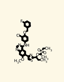 CCC(OC(C)S(=O)(=O)CC)c1nc(-c2cc3c(Nc4ccc(OCc5cccc(F)c5)c(Cl)c4)ncnc3cc2OC)cs1